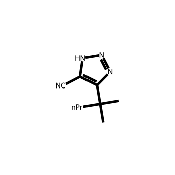 CCCC(C)(C)c1nn[nH]c1C#N